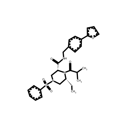 CC[C@@H]1CN(S(=O)(=O)c2ccccc2)C[C@H](C(=O)NCc2ccc(-c3ccco3)cc2)N1C(=O)C(C)C